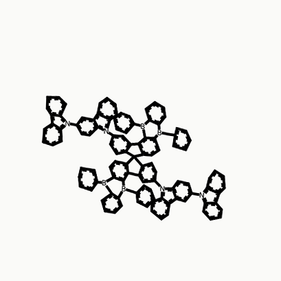 c1ccc(B2c3ccccc3B(c3ccccc3)c3c2ccc2c3-c3cc(-n4c5ccccc5c5cc(-n6c7ccccc7c7ccccc76)ccc54)ccc3C23c2ccc(-n4c5ccccc5c5cc(-n6c7ccccc7c7ccccc76)ccc54)cc2-c2c3ccc3c2B(c2ccccc2)c2ccccc2B3c2ccccc2)cc1